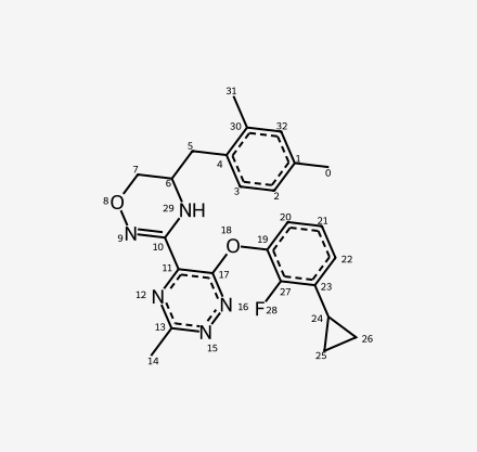 Cc1ccc(CC2CON=C(c3nc(C)nnc3Oc3cccc(C4CC4)c3F)N2)c(C)c1